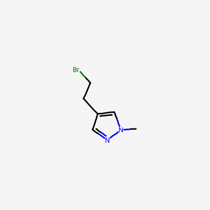 Cn1cc(CCBr)cn1